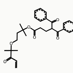 C=CC(=O)C(C)(C)OCCC(C)(C)OC(=O)CCC(C(=O)c1ccccc1)C(=O)c1ccccc1